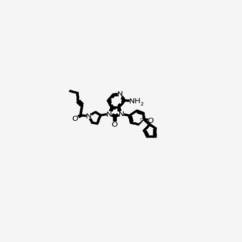 CCC#CC(=O)N1CCC(n2c(=O)n(C3=CC[C@@]4(C=C3)OC43C=CC=C3)c3c(N)nccc32)C1